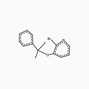 FC(F)(Oc1cccnc1Br)c1ccccc1